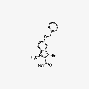 Cn1c(C(=O)O)c(Br)c2cc(OCc3ccccc3)ccc21